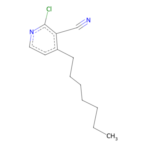 CCCCCCCc1ccnc(Cl)c1C#N